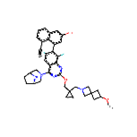 C#Cc1cccc2cc(O)cc(-c3c(F)cc4c(N5CC6CCC(C5)N6)nc(OCC5(CN6CC7(CC(OC)C7)C6)CC5)nc4c3F)c12